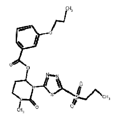 CCCOc1cccc(C(=O)OC2CCN(C)C(=O)N2c2nnc(S(=O)(=O)CCC)s2)c1